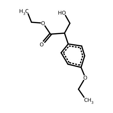 CCOC(=O)C(CO)c1ccc(OCC)cc1